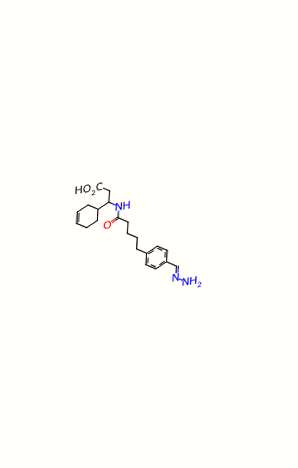 NN=Cc1ccc(CCCCC(=O)NC(CC(=O)O)C2CC=CCC2)cc1